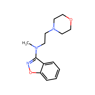 CN(CCN1CCOCC1)c1noc2ccccc12